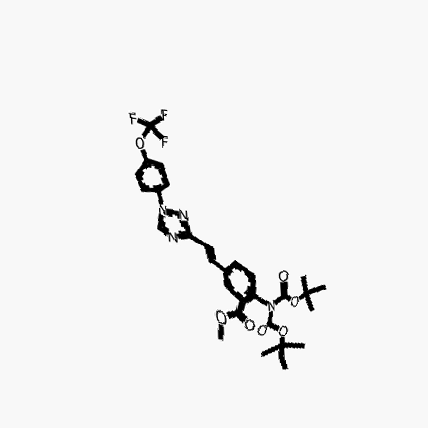 COC(=O)c1cc(C=Cc2ncn(-c3ccc(OC(F)(F)F)cc3)n2)ccc1N(C(=O)OC(C)(C)C)C(=O)OC(C)(C)C